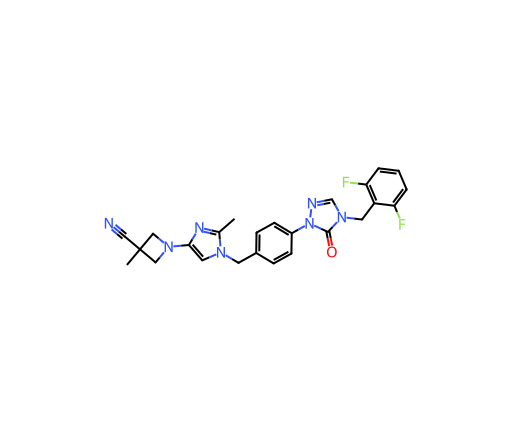 Cc1nc(N2CC(C)(C#N)C2)cn1Cc1ccc(-n2ncn(Cc3c(F)cccc3F)c2=O)cc1